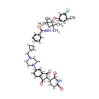 CC1(C)[C@H](NC(=O)c2ccc([C@H]3C[C@H](CN4CCN(c5ccc6c(c5)C(=O)C(C5CCC(=O)NC5=O)C6=O)CC4)C3)cc2)C(C)(C)[C@H]1Oc1ccc(C#N)c(Cl)c1